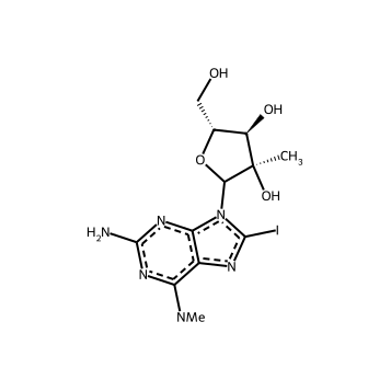 CNc1nc(N)nc2c1nc(I)n2C1O[C@H](CO)[C@@H](O)[C@@]1(C)O